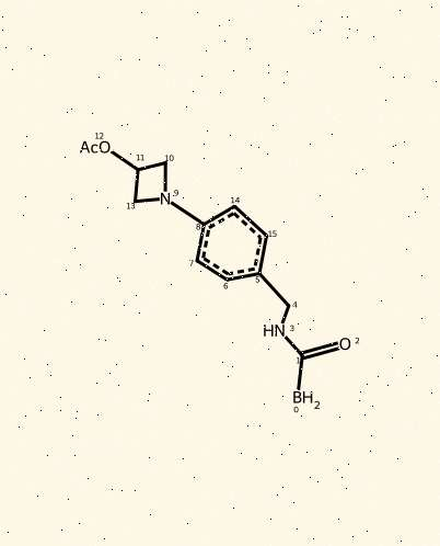 BC(=O)NCc1ccc(N2CC(OC(C)=O)C2)cc1